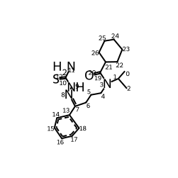 CC(C)N(CCCC(=NNC(N)=S)c1ccccc1)C(=O)C1CCCCC1